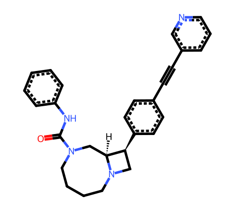 O=C(Nc1ccccc1)N1CCCCN2C[C@H](c3ccc(C#Cc4cccnc4)cc3)[C@@H]2C1